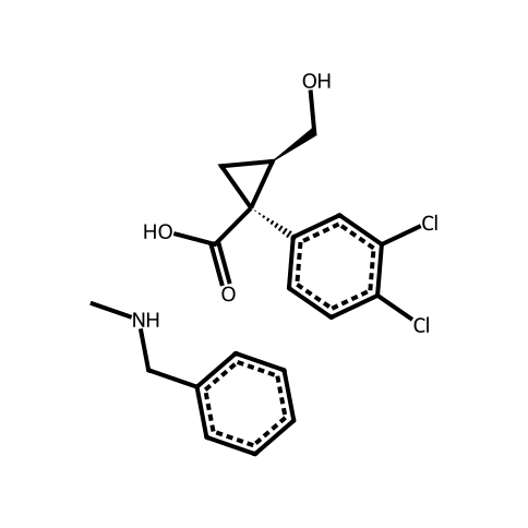 CNCc1ccccc1.O=C(O)[C@@]1(c2ccc(Cl)c(Cl)c2)C[C@H]1CO